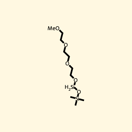 COCCOCCOCCO[SiH2]O[Si](C)(C)C